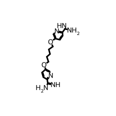 N=C(N)c1ccc(OCCCCCOc2ccc(C(=N)N)nc2)cn1